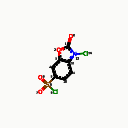 O=c1oc2cc(S(=O)(=O)Cl)ccc2n1Cl